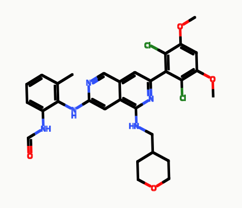 COc1cc(OC)c(Cl)c(-c2cc3cnc(Nc4c(C)cccc4NC=O)cc3c(NCC3CCOCC3)n2)c1Cl